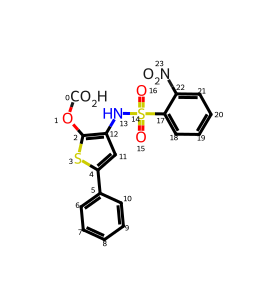 O=C(O)Oc1sc(-c2ccccc2)cc1NS(=O)(=O)c1ccccc1[N+](=O)[O-]